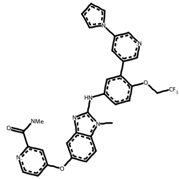 CNC(=O)c1cc(Oc2ccc3c(c2)nc(Nc2ccc(OCC(F)(F)F)c(-c4cncc(-n5cccc5)c4)c2)n3C)ccn1